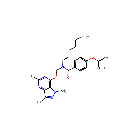 CCCc1nn(C)c2c(OCN(CCCCCC(=O)OCC)C(=O)c3ccc(OC(CCC)C(=O)OCC)cc3)nc(CC)nc12